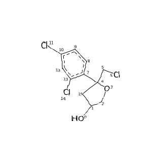 OC1COC(CCl)(c2ccc(Cl)cc2Cl)C1